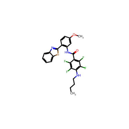 CCCCNc1c(F)c(F)c(C(=O)Nc2cc(OC)ccc2-c2nc3ccccc3s2)c(F)c1F